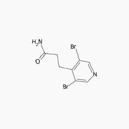 NC(=O)CCc1c(Br)cncc1Br